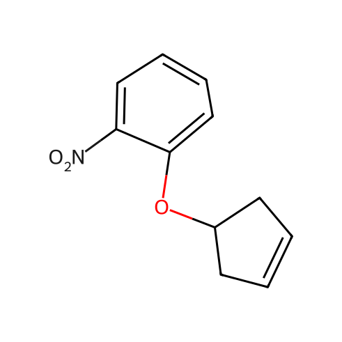 O=[N+]([O-])c1ccccc1OC1CC=CC1